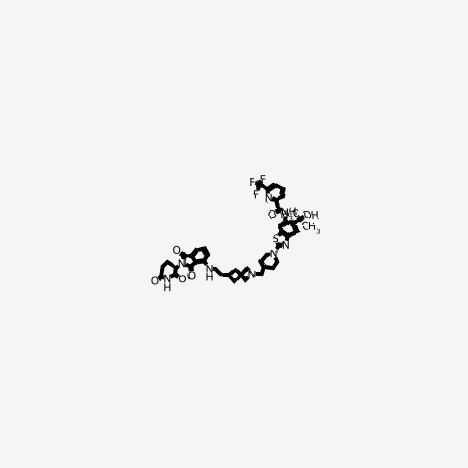 CC(C)(O)c1cc2nc(N3CCC(CN4CC5(CC(CCNc6cccc7c6C(=O)N(C6CCC(=O)NC6=O)C7=O)C5)C4)CC3)sc2cc1NC(=O)c1cccc(C(F)(F)F)n1